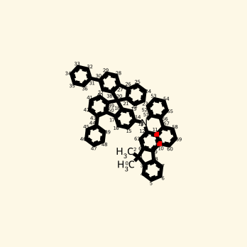 CC1(C)c2ccccc2-c2ccc(N(c3ccc4c(c3)C3(c5ccccc5-c5ccc(-c6ccccc6)cc53)c3cccc(-c5ccccc5)c3-4)c3ccccc3-c3ccccc3)cc21